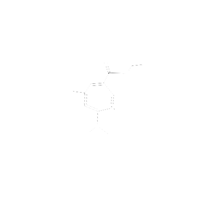 CCOC(=O)C1=CC(C)=C=C([S+](C)[O-])N=C1